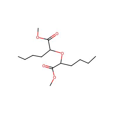 CCCCC(OC(CCCC)C(=O)OC)C(=O)OC